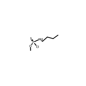 CCCCNP(=S)(Cl)OC